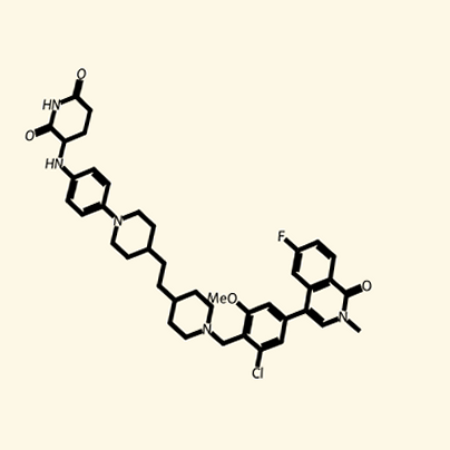 COc1cc(-c2cn(C)c(=O)c3ccc(F)cc23)cc(Cl)c1CN1CCC(CCC2CCN(c3ccc(NC4CCC(=O)NC4=O)cc3)CC2)CC1